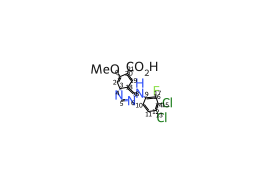 COc1cc2ncnc(Nc3ccc(Cl)c(Cl)c3F)c2cc1C(=O)O